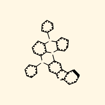 c1ccc2oc3cc4c(cc3c2c#1)B1c2ccccc2N(c2ccccc2)c2cccc(c21)N4c1ccccc1